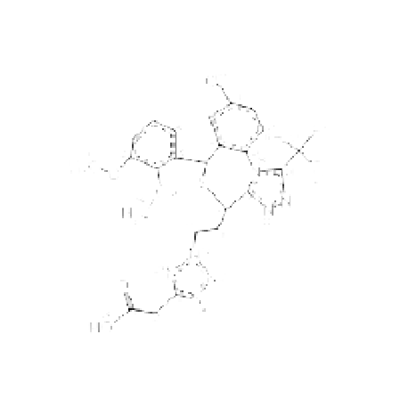 COc1cccc(C2SC(CCn3nnc(CC(=O)O)n3)c3nnc(C(F)(F)F)n3-c3ccc(Cl)cc32)c1OC